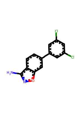 Nc1noc2cc(-c3cc(Cl)cc(Cl)c3)ccc12